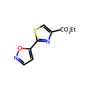 CCOC(=O)c1csc(-c2ccno2)n1